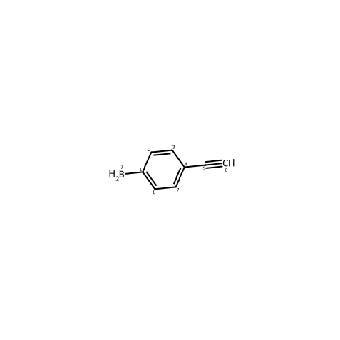 Bc1ccc(C#C)cc1